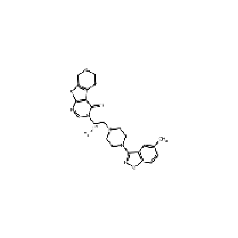 Cc1ccc2onc(N3CCN(C[C@H](C)n4cnc5sc6c(c5c4=O)CCOC6)CC3)c2c1